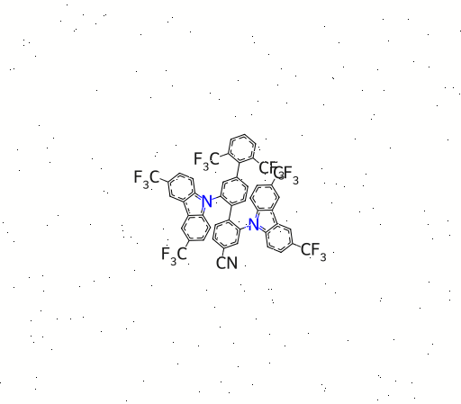 N#Cc1ccc(-c2ccc(-c3c(C(F)(F)F)cccc3C(F)(F)F)cc2-n2c3ccc(C(F)(F)F)cc3c3cc(C(F)(F)F)ccc32)c(-n2c3ccc(C(F)(F)F)cc3c3cc(C(F)(F)F)ccc32)c1